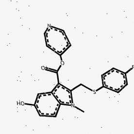 Cn1c(CSc2ccc(F)cc2)c(C(=O)Oc2ccncc2)c2cc(O)ccc21